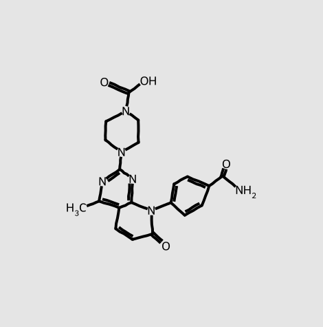 Cc1nc(N2CCN(C(=O)O)CC2)nc2c1ccc(=O)n2-c1ccc(C(N)=O)cc1